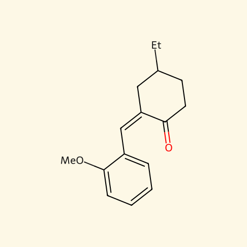 CCC1CCC(=O)/C(=C\c2ccccc2OC)C1